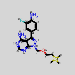 CS(C)(C)CCOCn1nc(-c2ccc(N)c(F)c2)c2c(N)ncnc21